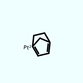 C1=C2CCC(=C1)C2.[Pt+2]